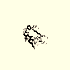 CN(CCCCN(C)[C@H]1CC[C@H](Nc2ncc(C(F)(F)F)c(-c3c[nH]c4nc(C#N)ccc34)n2)C1)C(=O)OC(C)(C)C